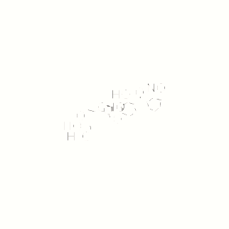 C/C=C1\C(O)OC=C(C=O)C1CC(=O)Oc1ccc(C(=O)c2ccccc2N=O)c(O)c1